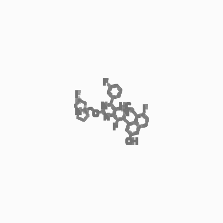 C#Cc1c(F)ccc2cc(O)cc(-c3ncc4c(-c5cccc(F)c5)nc(OC[C@@]56CCCN5C[C@H](F)C6)nc4c3F)c12